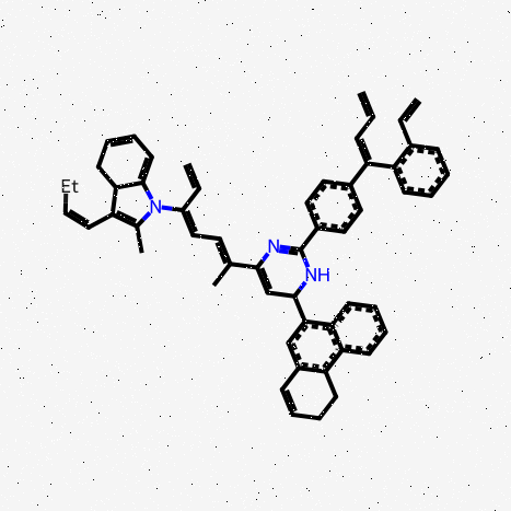 C=C/C=C(/c1ccc(C2=NC(/C(C)=C/C=C(\C=C)N3C4=CC=CCC4C(/C=C\CC)=C3C)=CC(c3cc4c(c5ccccc35)CCC=C4)N2)cc1)c1ccccc1C=C